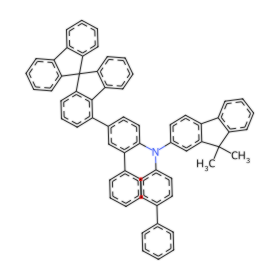 CC1(C)c2ccccc2-c2ccc(N(c3ccc(-c4ccccc4)cc3)c3ccc(-c4cccc5c4-c4ccccc4C54c5ccccc5-c5ccccc54)cc3-c3ccccc3)cc21